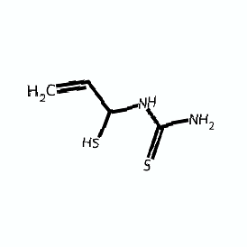 C=CC(S)NC(N)=S